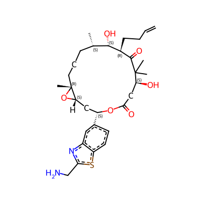 C=CCC[C@H]1C(=O)C(C)(C)[C@@H](O)CC(=O)O[C@H](c2ccc3sc(CN)nc3c2)C[C@@H]2O[C@]2(C)CCC[C@H](C)[C@@H]1O